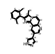 Cc1cccc(C)c1-c1nc2c3cc(-c4cn[nH]c4)cnc3ccn2c1C